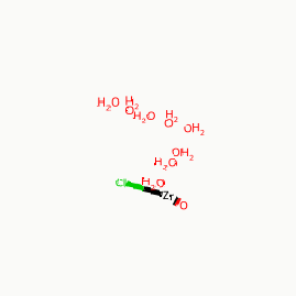 O.O.O.O.O.O.O.O.[O]=[Zr][Cl]